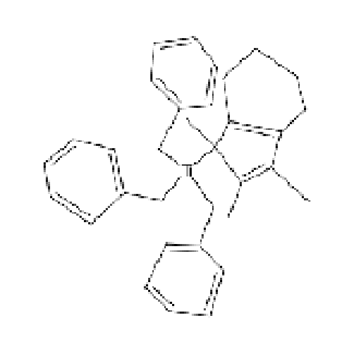 CC1=C(C)[C](C)([Ti]([CH2]c2ccccc2)([CH2]c2ccccc2)[CH2]c2ccccc2)C2=C1CCCC2